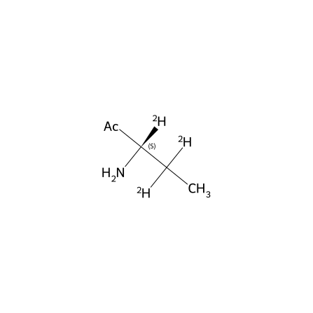 [2H]C([2H])(C)[C@]([2H])(N)C(C)=O